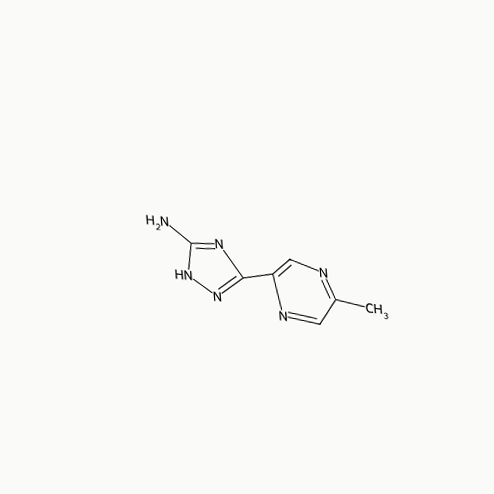 Cc1cnc(-c2n[nH]c(N)n2)cn1